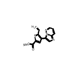 C=Cc1sc(C(=O)OC)cc1-c1cnc2cccnn12